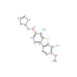 CCOc1ccc2c(sc3c(F)c(OCC4CC=CC4)ccc32)c1F